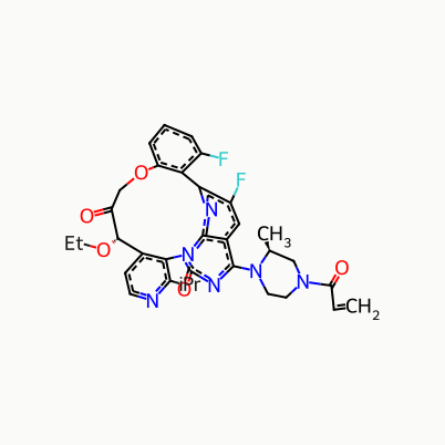 C=CC(=O)N1CCN(c2nc(=O)n3c4nc(c(F)cc24)-c2c(F)cccc2OCC(=O)[C@@H](OCC)c2ccnc(C(C)C)c2-3)[C@@H](C)C1